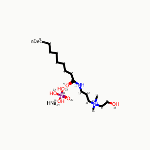 CCCCCCCCCCCCCCCCCC(=O)NCCC[N+](C)(C)CCO.O=P(O)(O)O.[NaH]